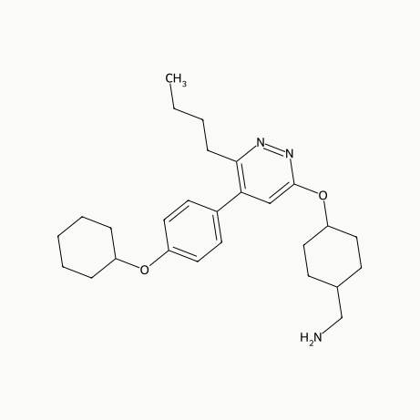 CCCCc1nnc(OC2CCC(CN)CC2)cc1-c1ccc(OC2CCCCC2)cc1